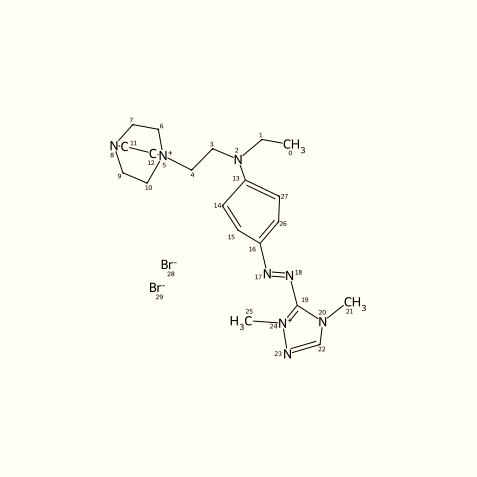 CCN(CC[N+]12CCN(CC1)CC2)c1ccc(/N=N/c2n(C)cn[n+]2C)cc1.[Br-].[Br-]